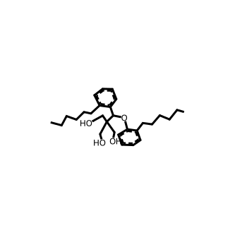 CCCCCCc1ccccc1OC(c1ccccc1CCCCCC)C(CO)(CO)CO